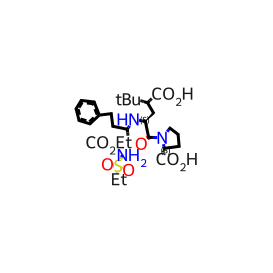 CCOC(=O)C(CCc1ccccc1)N[C@@H](CC(C(=O)O)C(C)(C)C)C(=O)N1CCC[C@H]1C(=O)O.CCS(N)(=O)=O